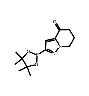 CC1(C)OB(c2cc3n(n2)CCCC3=O)OC1(C)C